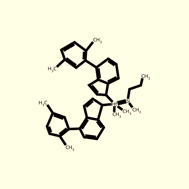 CCC[Si](C)=[Hf]([CH3])([CH3])([CH]1C=Cc2c(-c3cc(C)ccc3C)cccc21)[CH]1C=Cc2c(-c3cc(C)ccc3C)cccc21